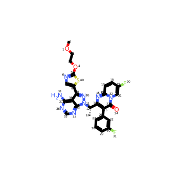 COCCOc1ncc(-c2nn([C@@H](C)c3nc4ccc(F)cn4c(=O)c3-c3cccc(F)c3)c3ncnc(N)c23)s1